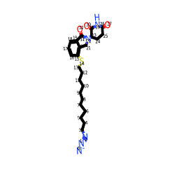 [N-]=[N+]=NCCCCCCCCCCCSc1cccc2c1CN(C1CCC(=O)NC1=O)C2=O